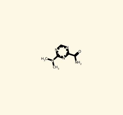 CN(C)c1ncnc(C(N)=O)n1